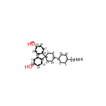 CCCCCC[C@H]1CC[C@@H](C2CCC(c3ccc(O)cc3)(c3ccc(O)cc3)CC2)CC1